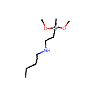 CCCCNCC[Si](C)(OC)OC